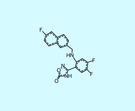 O=c1[nH]c(-c2cc(F)c(F)cc2NCc2ccc3cc(F)ccc3c2)no1